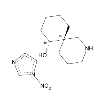 O=[N+]([O-])n1ccnc1.O[C@@H]1CCCC[C@@]12CCCNC2